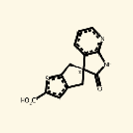 O=C(O)c1cc2c(s1)C[C@]1(C2)C(=O)Nc2ncccc21